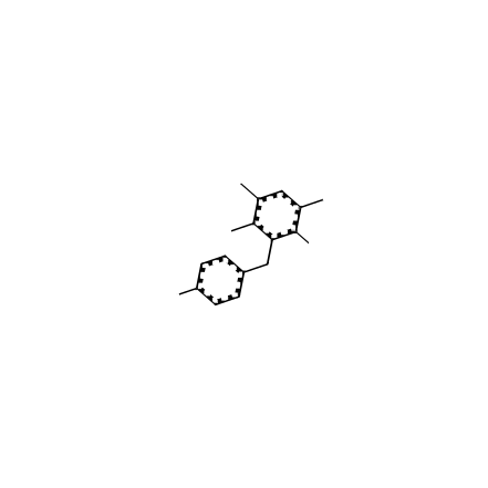 Cc1cc(C)c(O)c(Cc2ccc(O)cc2)c1C